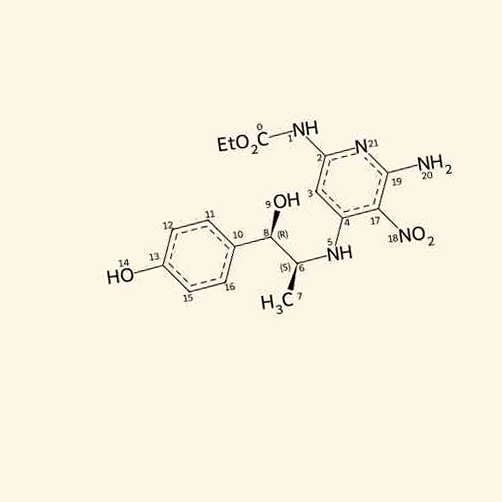 CCOC(=O)Nc1cc(N[C@@H](C)[C@H](O)c2ccc(O)cc2)c([N+](=O)[O-])c(N)n1